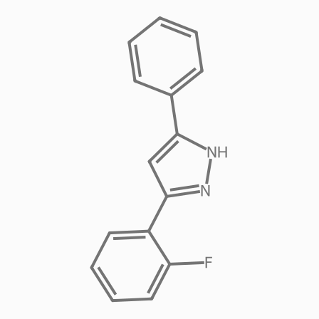 Fc1ccccc1-c1cc(-c2ccccc2)[nH]n1